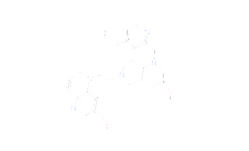 CCOC(=O)CN(Cc1cc2c(cn1)OCCO2)C1CCN(CCN2CC=Cc3ncc(OC)cc32)CC1